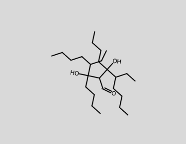 CCCCC(CC)C(O)(CCCC)C([C]=O)C(O)(CCCC)C(CC)CCCC